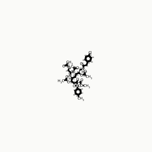 COC(=O)[C@]1(S(=O)(=O)c2ccc(C)cc2)C[C@H](OC(C)=O)[C@@H](NC(=O)COC(C)=O)[C@H]([C@H](OC(C)=O)[C@@H](CNC(=O)Cc2ccc(Cl)cc2)OC(C)=O)O1